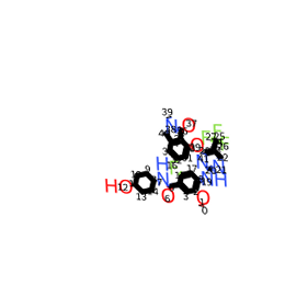 COc1cc(C(=O)N[C@H]2CC[C@H](O)CC2)c(F)cc1Nc1ncc(C(F)(F)F)c(Oc2cccc3c2C(=O)N(C)C3)n1